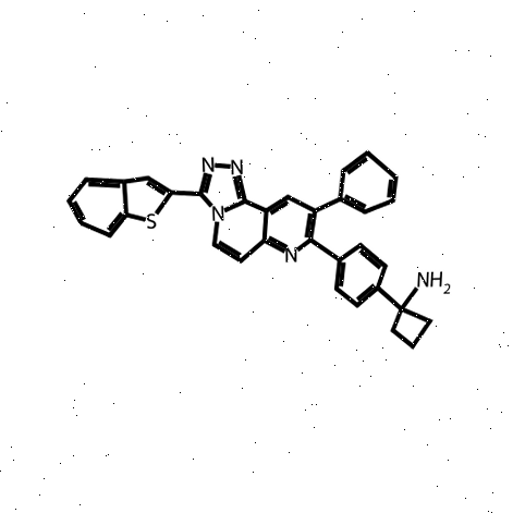 NC1(c2ccc(-c3nc4ccn5c(-c6cc7ccccc7s6)nnc5c4cc3-c3ccccc3)cc2)CCC1